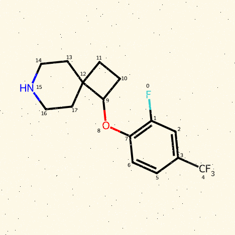 Fc1cc(C(F)(F)F)ccc1OC1CCC12CCNCC2